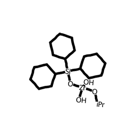 CC(C)[O][Zr]([OH])([OH])[O][Si](C1CCCCC1)(C1CCCCC1)C1CCCCC1